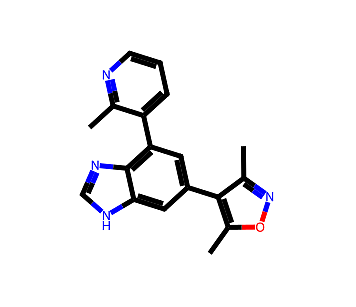 Cc1ncccc1-c1cc(-c2c(C)noc2C)cc2[nH]cnc12